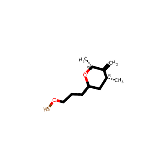 C=C1[C@H](C)CC(CCCOS)O[C@@H]1C